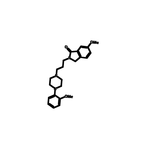 COc1ccc2c(c1)C(=O)N(CCCN1CCN(c3ccccc3OC)CC1)C2